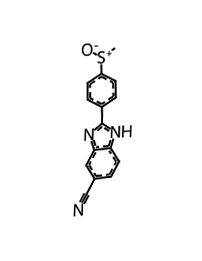 C[S+]([O-])c1ccc(-c2nc3cc(C#N)ccc3[nH]2)cc1